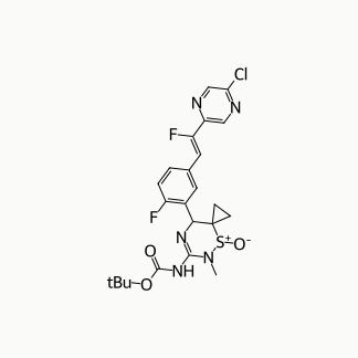 CN1C(NC(=O)OC(C)(C)C)=NC(c2cc(/C=C(\F)c3cnc(Cl)cn3)ccc2F)C2(CC2)[S+]1[O-]